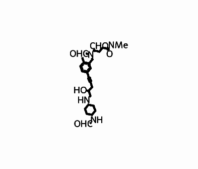 CNC(=O)CCC(C=O)N(C=O)Cc1cc(C#CCC(O)CN[C@H]2CC[C@@H](NC=O)CC2)ccc1C